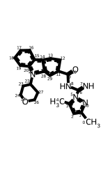 Cc1cc(C)n(C(=N)NC(=O)c2ccc3c4ccccc4n(C4CCOCC4)c3c2)n1